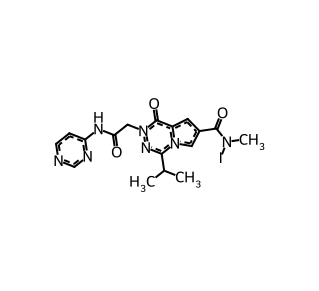 CC(C)c1nn(CC(=O)Nc2ccncn2)c(=O)c2cc(C(=O)N(C)I)cn12